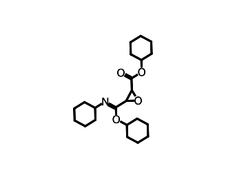 O=C(OC1CCCCC1)C1OC1C(=NC1CCCCC1)OC1CCCCC1